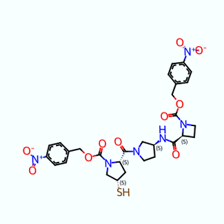 O=C(N[C@H]1CCN(C(=O)[C@@H]2C[C@H](S)CN2C(=O)OCc2ccc([N+](=O)[O-])cc2)C1)[C@@H]1CCN1C(=O)OCc1ccc([N+](=O)[O-])cc1